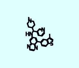 Cc1csc2ccc(-c3cc(NC(c4cccnc4)C4CCN(C)CC4)cc4nccnc34)cc12